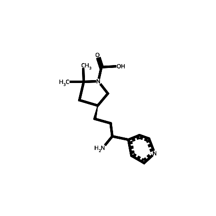 CC1(C)C[C@H](CCC(N)c2ccncc2)CN1C(=O)O